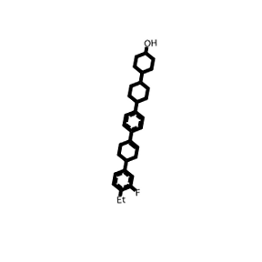 CCc1ccc(C2CC=C(c3ccc(C4CCC(C5CCC(O)CC5)CC4)cc3)CC2)cc1F